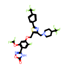 O=c1[nH]c(-c2cc(F)c(OCc3sc(-c4ccc(C(F)(F)F)cc4)nc3CN3CCC(C(F)(F)F)CC3)cc2OC(F)F)no1